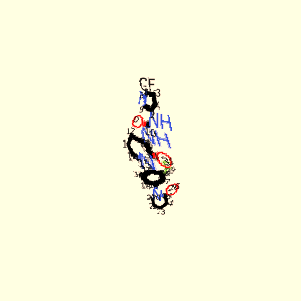 O=C(Nc1ccc(C(F)(F)F)nc1)N[C@@H]1CCCN(c2ccc(N3CCCCC3=O)cc2F)C1=O